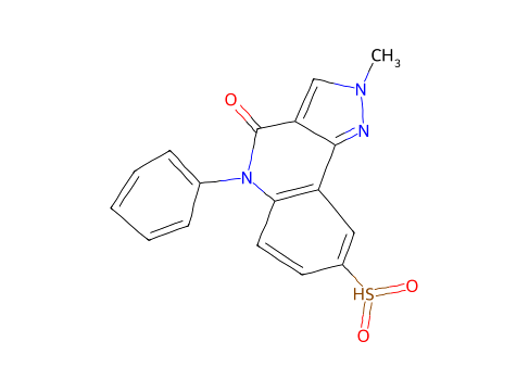 Cn1cc2c(=O)n(-c3ccccc3)c3ccc([SH](=O)=O)cc3c2n1